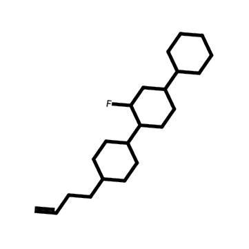 C=CCCC1CCC(C2CCC(C3CCCCC3)CC2F)CC1